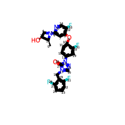 C[C@H]1[C@@H](O)CN1c1cc(Oc2ccc(-n3ncn(Cc4c(F)cccc4F)c3=O)cc2F)c(F)cn1